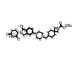 CC(C)(C)OC(=O)N1CC2(CCC(CN3CCN(c4ccc5c(c4)CN([C@H]4CCC(=O)NC4=O)C5=O)CC3)CC2)C1